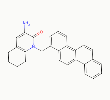 Nc1cc2c(n(Cc3cccc4c3ccc3c5ccccc5ccc43)c1=O)CCCC2